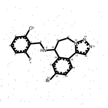 Fc1cccc(Cl)c1CNC1CCn2nncc2-c2ccc(Br)cc21